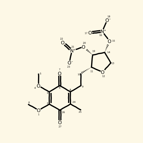 COC1=C(OC)C(=O)C(CC[C@H]2OC[C@@H](O[N+](=O)[O-])[C@H]2O[N+](=O)[O-])=C(C)C1=O